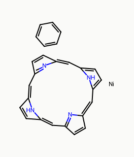 C1=Cc2cc3ccc(cc4nc(cc5ccc(cc1n2)[nH]5)C=C4)[nH]3.[Ni].c1ccccc1